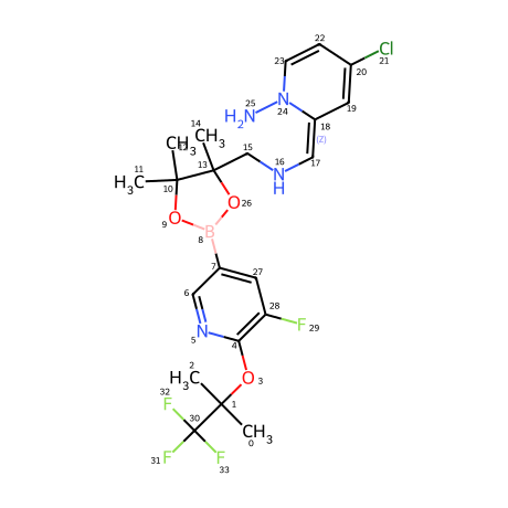 CC(C)(Oc1ncc(B2OC(C)(C)C(C)(CN/C=C3/C=C(Cl)C=CN3N)O2)cc1F)C(F)(F)F